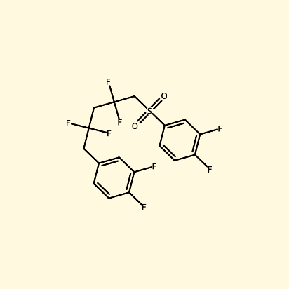 O=S(=O)(CC(F)(F)CC(F)(F)Cc1ccc(F)c(F)c1)c1ccc(F)c(F)c1